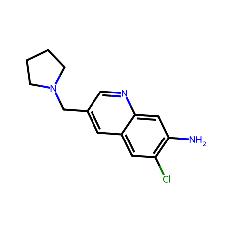 Nc1cc2ncc(CN3CCCC3)cc2cc1Cl